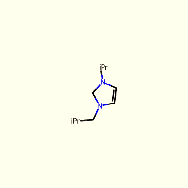 CC(C)CN1C=CN(C(C)C)C1